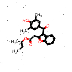 CC[C@H](C)OC(=O)Cc1oc2ccccc2c1C(=O)c1cc(C)c(O)c(C)c1